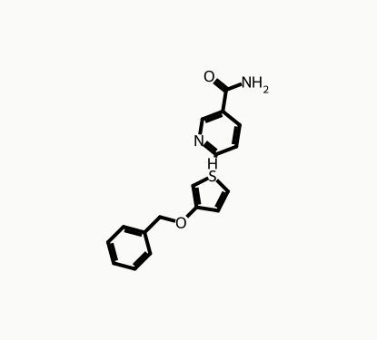 NC(=O)c1ccc([SH]2C=CC(OCc3ccccc3)=C2)nc1